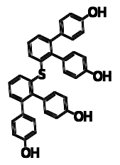 Oc1ccc(-c2cccc(Sc3cccc(-c4ccc(O)cc4)c3-c3ccc(O)cc3)c2-c2ccc(O)cc2)cc1